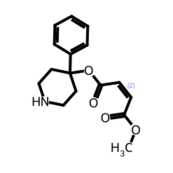 COC(=O)/C=C\C(=O)OC1(c2ccccc2)CCNCC1